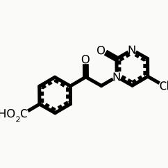 O=C(O)c1ccc(C(=O)Cn2cc(Cl)cnc2=O)cc1